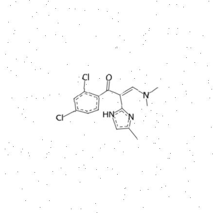 Cc1c[nH]c(C(=CN(C)C)C(=O)c2ccc(Cl)cc2Cl)n1